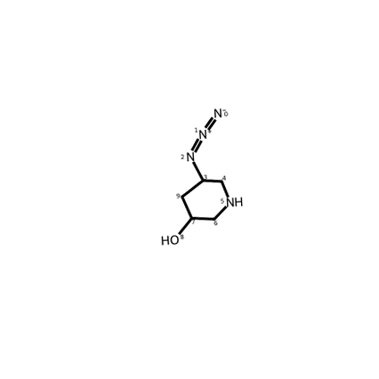 [N-]=[N+]=NC1CNCC(O)C1